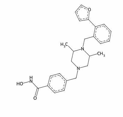 CC1CN(Cc2ccc(C(=O)NO)cc2)CC(C)N1Cc1ccccc1-c1ccco1